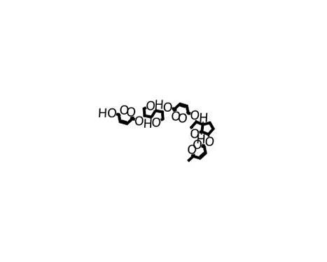 CC(=O)/C=C\C(=O)O[C@@H]1CC[C@H]2[C@@H]1OC[C@@H]2OC(=O)/C=C\C(=O)O[C@@H]1CO[C@H]2[C@@H]1OC[C@@H]2OC(=O)/C=C\C(=O)O